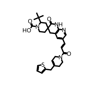 CC(C)(C)C1CC2(CCN1C(=O)O)Cc1cc(C=CC(=O)N3CC=C(Cc4cccs4)CC3)cnc1NC2=O